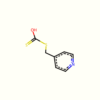 OC(=S)SCc1ccncc1